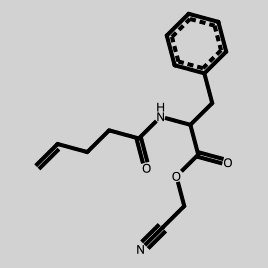 C=CCCC(=O)NC(Cc1ccccc1)C(=O)OCC#N